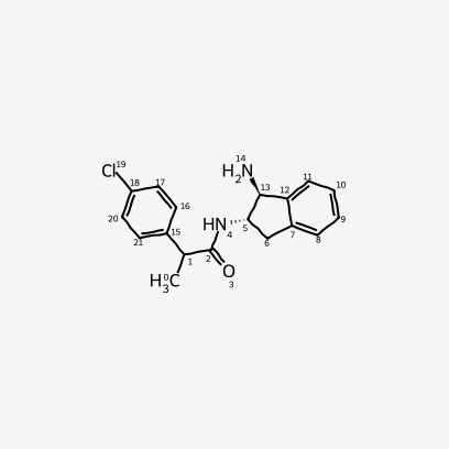 CC(C(=O)N[C@H]1Cc2ccccc2[C@@H]1N)c1ccc(Cl)cc1